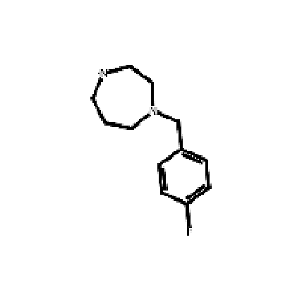 Fc1ccc(CN2CCC[N]CC2)cc1